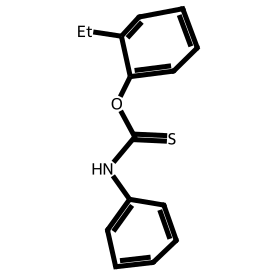 CCc1ccccc1OC(=S)Nc1ccccc1